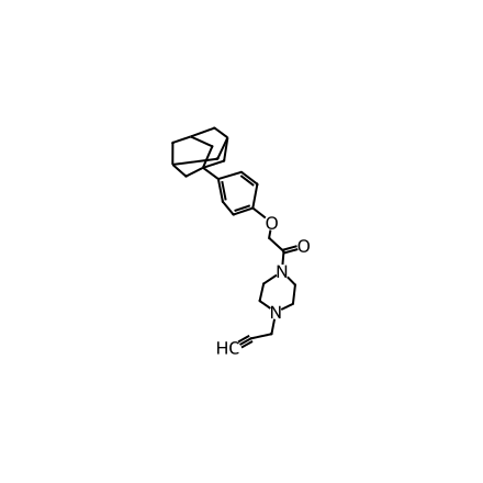 C#CCN1CCN(C(=O)COc2ccc(C34CC5CC(CC(C5)C3)C4)cc2)CC1